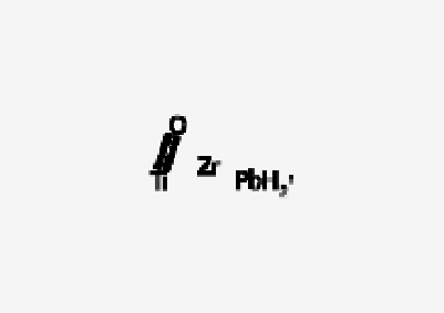 [O]=[Ti].[PbH2].[Zr]